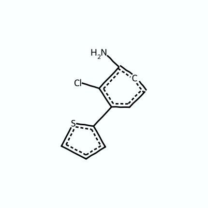 Nc1cccc(-c2cccs2)c1Cl